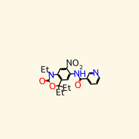 CCN1C(=O)OC(CC)(CC)c2cc(NC(=O)c3cccnc3)c([N+](=O)[O-])cc21